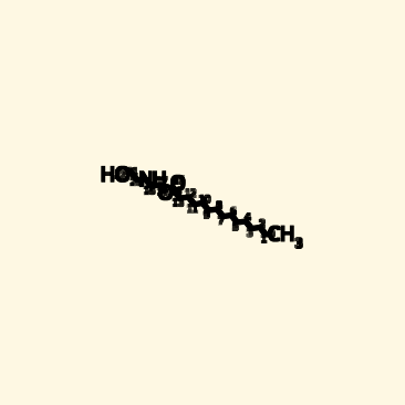 CCCCCCCCCCCCCCC(=O)OCCNCCO